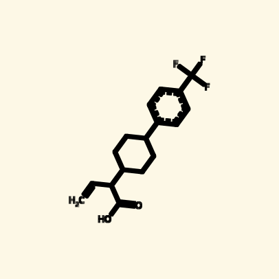 C=CC(C(=O)O)C1CCC(c2ccc(C(F)(F)F)cc2)CC1